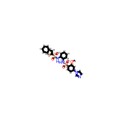 COc1cc(-n2ccnc2)ccc1S(=O)(=O)Nc1ccccc1NS(=O)(=O)c1cc2ccccc2s1